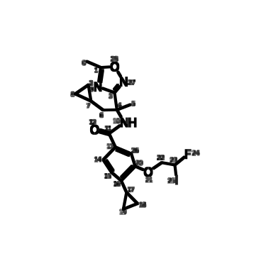 Cc1nc(C(C)(CC2CC2)NC(=O)c2ccc(C3CC3)c(OCC(F)I)c2)no1